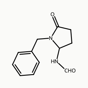 O=CNC1CCC(=O)N1Cc1ccccc1